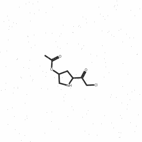 CC(=O)OC1CNC(C(=O)CCl)C1